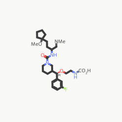 CNCC(CCC1(OC)CCCC1)NC(=O)N1CCCC([C@@H](OCCNC(=O)O)c2cccc(F)c2)C1